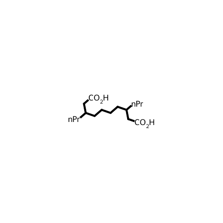 CCCC(CCCCC(CCC)CC(=O)O)CC(=O)O